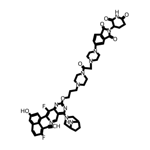 C#Cc1c(F)ccc2cc(O)cc(-c3ncc4c(N5CC6CCC(C5)N6)nc(OCCCN5CCN(C(=O)CN6CCN(c7ccc8c(c7)C(=O)N(C7CCC(=O)NC7=O)C8=O)CC6)CC5)nc4c3F)c12